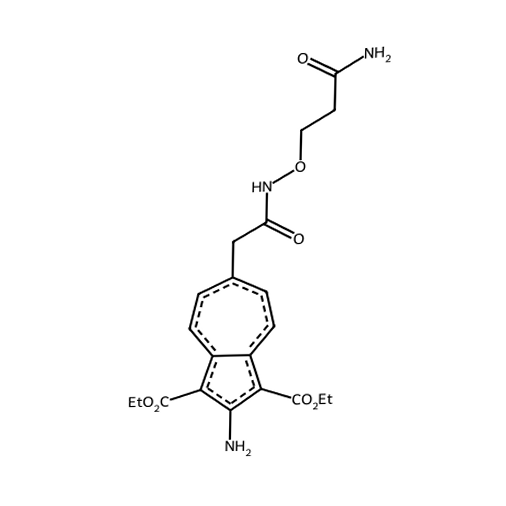 CCOC(=O)c1c2ccc(CC(=O)NOCCC(N)=O)ccc-2c(C(=O)OCC)c1N